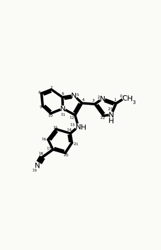 Cc1nc(-c2nc3ccccn3c2Nc2ccc(C#N)cc2)c[nH]1